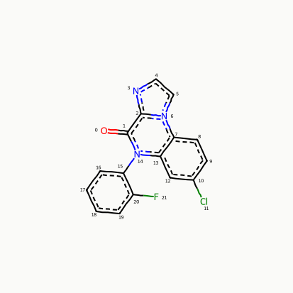 O=c1c2nccn2c2ccc(Cl)cc2n1-c1ccccc1F